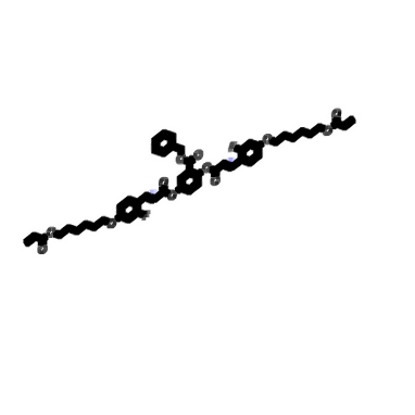 C=CC(=O)OCCCCCCOc1ccc(/C=C/C(=O)Oc2ccc(OC(=O)/C=C/c3ccc(OCCCCCCOC(=O)C=C)cc3F)c(C(=O)OCc3ccccc3)c2)c(F)c1